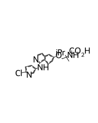 CC(C)C(C)(COc1ccc2c(Nc3ccc(Cl)nc3)nccc2c1)NC(=O)O